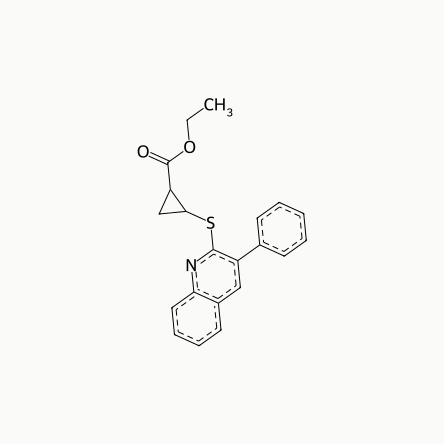 CCOC(=O)C1CC1Sc1nc2ccccc2cc1-c1ccccc1